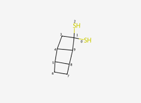 SC1(S)CC2C3CCC3C21